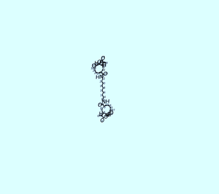 C=C1C(=O)O[C@H]2[C@H]1CC/C(C(=O)NCCCCCCCCCCNC(=O)/C1=C/CC[C@@]3(C)O[C@H]3[C@H]3OC(=O)C(=C)[C@@H]3CC1)=C\CC[C@@]1(C)O[C@@H]21